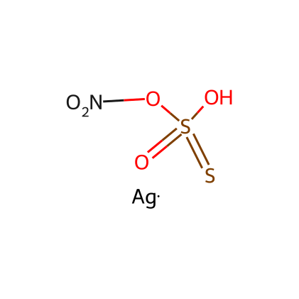 O=[N+]([O-])OS(=O)(O)=S.[Ag]